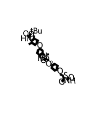 Cc1cc(Oc2ccc([N+](=O)[O-])c(N(C)C(=O)COc3ccc(OCC4SC(=O)NC4=O)cc3)c2)cc(C)c1NC(=O)OC(C)(C)C